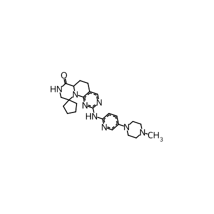 CN1CCN(c2ccc(Nc3ncc4c(n3)N3C(CC4)C(=O)NCC34CCCC4)nc2)CC1